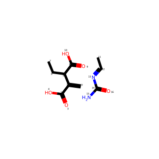 C=C(C(=O)O)C(CC)C(=O)O.CC=NC(N)=O